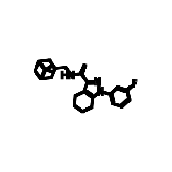 C=C(NCC1CC2CC(C1)C2(C)C)c1nn(-c2cccc(F)c2)c2c1CCCC2